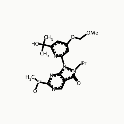 COCOc1cc(-n2c3nc([S+](C)[O-])ncc3c(=O)n2C(C)C)nc(C(C)(C)O)c1